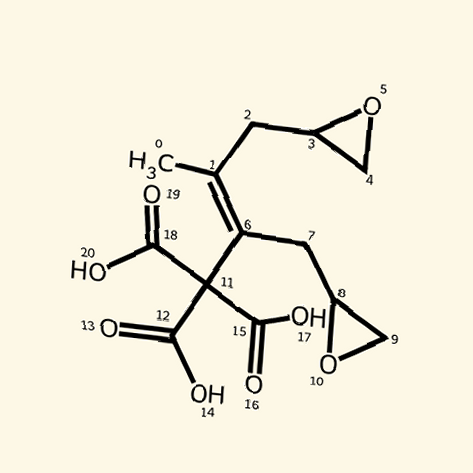 CC(CC1CO1)=C(CC1CO1)C(C(=O)O)(C(=O)O)C(=O)O